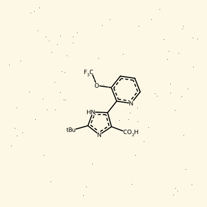 CC(C)(C)c1nc(C(=O)O)c(-c2ncccc2OC(F)(F)F)[nH]1